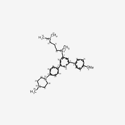 COc1ccc(-c2cc(N(C)CCCN(C)C)cc(-c3ccc(N4CCN(C)CC4)cc3)n2)cc1